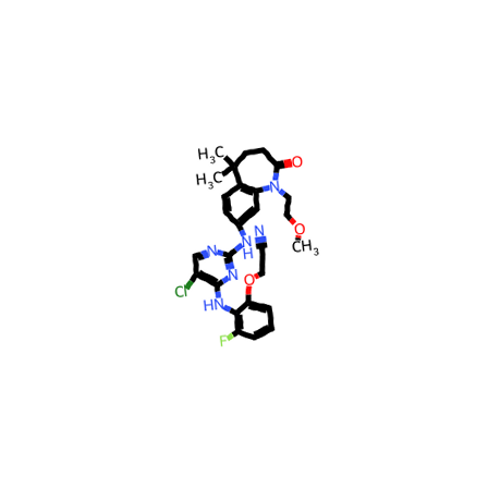 COCCN1C(=O)CCC(C)(C)c2ccc(Nc3ncc(Cl)c(Nc4c(F)cccc4OCC#N)n3)cc21